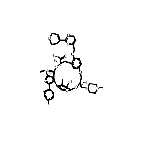 C=Nc1sc(-c2ccc(F)cc2)c2c1/C(=N\C)O[C@@H](C(=O)O)Cc1cc(ccc1OCc1ccnc(C3=CCOCC3)n1)OC[C@@H](CN1CCN(C)CC1)Oc1ccc-2c(C)c1Cl